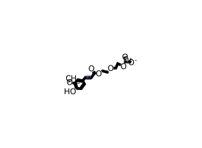 COc1cc(/C=C/C(=O)OCCOCCO[N+](=O)[O-])ccc1O